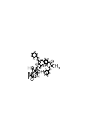 CN(CCc1ccncc1)C(=O)c1ccc2c(c1)NC(CC(=O)O)C(=O)N(CCC1CCCCC1)C2.O=C(O)C(F)(F)F.O=C(O)C(F)(F)F